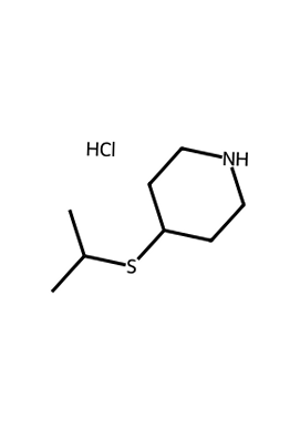 CC(C)SC1CCNCC1.Cl